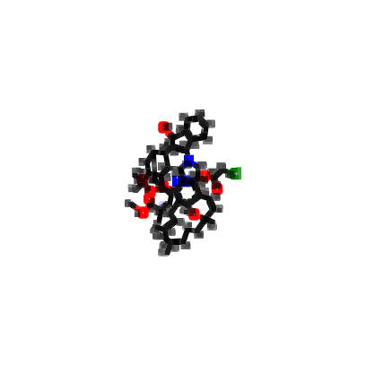 COC(=O)/C(C)=C\CC12OC(C)(C)C3CC(C1=O)C1C4=C(c5ccccc5C4=O)N4CCNC45c4c(OC(=O)CCl)c6c(c(CC=C(C)C)c4OC32C15)OC(C)(CCC=C(C)C)C=C6